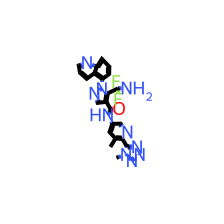 Cc1cc(NC(=O)c2cnn(-c3cccc4ncccc34)c2C(N)(F)F)cnc1-c1nnnn1C